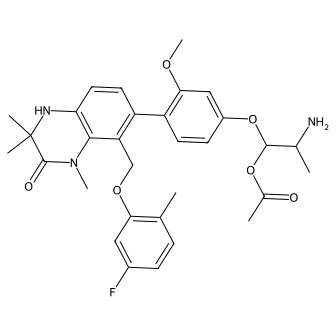 COc1cc(OC(OC(C)=O)C(C)N)ccc1-c1ccc2c(c1COc1cc(F)ccc1C)N(C)C(=O)C(C)(C)N2